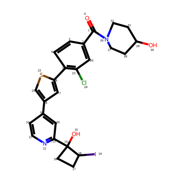 O=C(c1ccc(-c2cc(-c3ccnc(C4(O)CCC4I)c3)cs2)c(Cl)c1)N1CCC(O)CC1